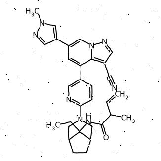 C=CC(C)C(=O)NC1(CC)C2CCC1CN(c1ccc(-c3cc(-c4cnn(C)c4)cn4ncc(C#N)c34)cn1)C2